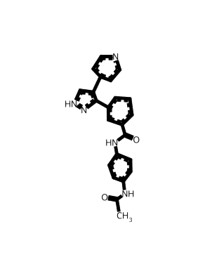 CC(=O)Nc1ccc(NC(=O)c2cccc(-c3n[nH]cc3-c3ccncc3)c2)cc1